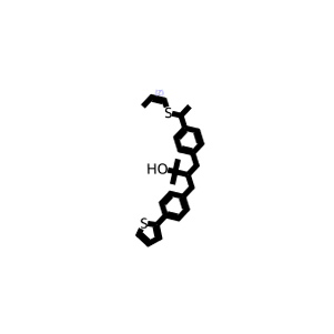 C/C=C\SC(C)c1ccc(CC(Cc2ccc(-c3cccs3)cc2)C(C)(C)O)cc1